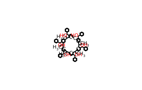 CCC1c2ccc(C(O)c3ccccc3)c(c2)C(CC)c2ccc(C(O)c3ccccc3)c(c2)C(C)c2ccc(C(O)c3ccccc3)c(c2)C(CC)c2ccc(C(O)c3ccccc3)c(c2)C(CC)c2ccc(C(O)c3ccccc3)c(c2)Cc2ccc(C(O)c3ccccc3)c1c2